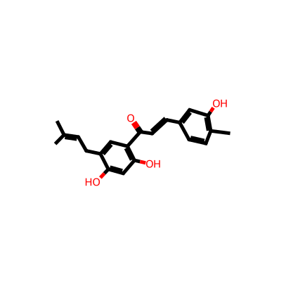 CC(C)=CCc1cc(C(=O)/C=C/c2ccc(C)c(O)c2)c(O)cc1O